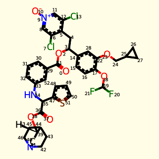 O=C(OC(Cc1c(Cl)c[n+]([O-])cc1Cl)c1ccc(OC(F)F)c(OCC2CC2)c1)c1cccc(NC(C(=O)O[C@H]2CN3CCC2CC3)c2cccs2)c1